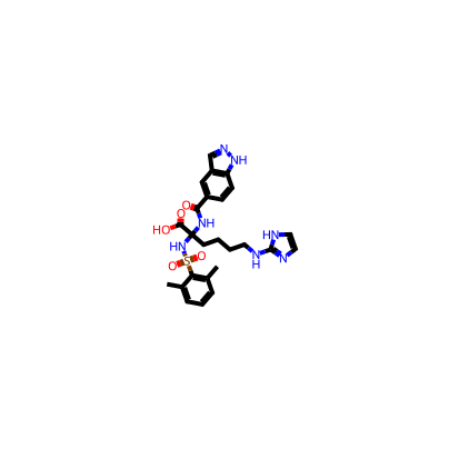 Cc1cccc(C)c1S(=O)(=O)NC(CCCCNc1ncc[nH]1)(NC(=O)c1ccc2[nH]ncc2c1)C(=O)O